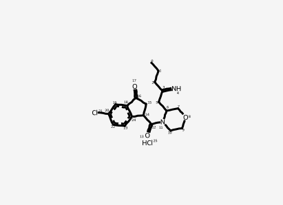 CCCC(=N)CC1COCCN1C(=O)C1CC(=O)c2cc(Cl)ccc21.Cl